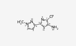 Cn1ccc(-c2nc(Cl)c(N)s2)n1